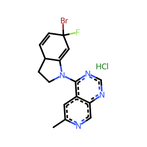 Cc1cc2c(N3CCC4C=CC(F)(Br)C=C43)ncnc2cn1.Cl